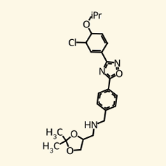 CC(C)OC1C=CC(c2noc(-c3ccc(CNCC4COC(C)(C)O4)cc3)n2)=CC1Cl